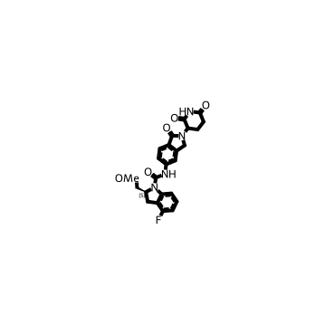 COC[C@@H]1Cc2c(F)cccc2N1C(=O)Nc1ccc2c(c1)CN(C1CCC(=O)NC1=O)C2=O